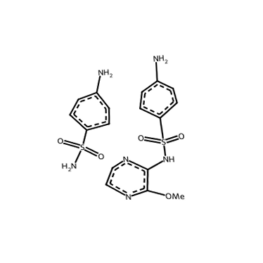 COc1nccnc1NS(=O)(=O)c1ccc(N)cc1.Nc1ccc(S(N)(=O)=O)cc1